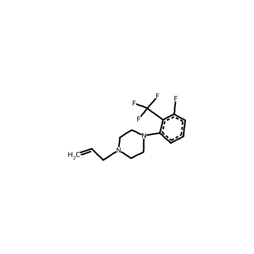 C=CCN1CCN(c2cccc(F)c2C(F)(F)F)CC1